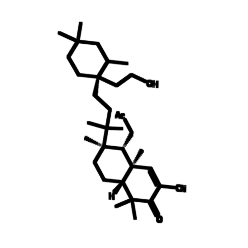 CC(=O)C[C@@H]1[C@@]2(C)C=C(C#N)C(=O)C(C)(C)[C@@H]2CC[C@@]1(C)C(C)(C)CC[C@@]1(CCO)CCC(C)(C)CC1C